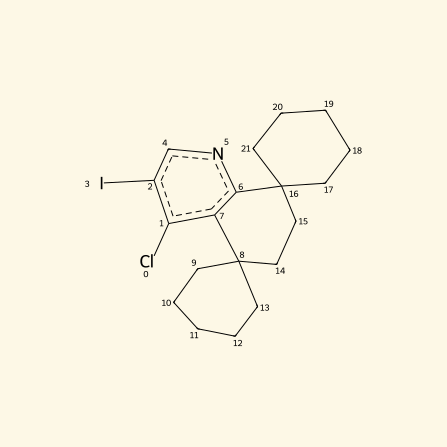 Clc1c(I)cnc2c1C1(CCCCC1)CCC21CCCCC1